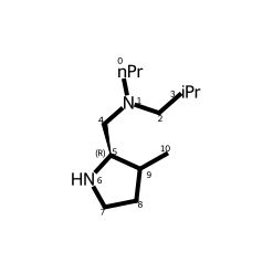 CCCN(CC(C)C)C[C@@H]1NCCC1C